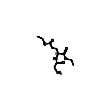 CCOC(=O)CC[C@H](NC(=O)CN)C(=O)OCC